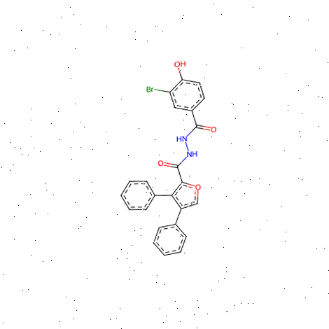 O=C(NNC(=O)c1occ(-c2ccccc2)c1-c1ccccc1)c1ccc(O)c(Br)c1